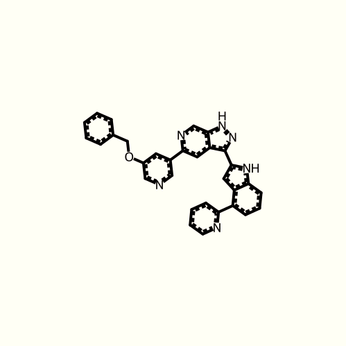 c1ccc(COc2cncc(-c3cc4c(-c5cc6c(-c7ccccn7)cccc6[nH]5)n[nH]c4cn3)c2)cc1